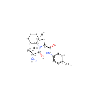 Cc1ccc(NC(=O)[C@@H]2C[C@@H]3CCCC[C@@H]3N2C(=O)[C@@H](N)C(C)C)cc1